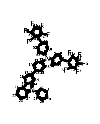 Fc1c(F)c(F)c(-c2ccc(N(c3ccc(-c4ccc5c6ccccc6n(-c6ccccc6)c5c4)cc3)c3ccc(-c4c(F)c(F)c(F)c(F)c4F)cc3)cc2)c(F)c1F